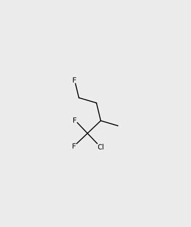 CC(CCF)C(F)(F)Cl